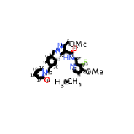 CC.COCc1nn(Cc2ccc(Cn3ccccc3=O)cc2)cc1C(=O)NCc1nccc(OC)c1F